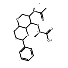 CC(=O)NC1COC2COC(c3ccccc3)OC2C1O[C@H](C)C(=O)O